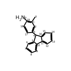 Cc1cc(C2c3ccccc3-c3ccccc32)ccc1N